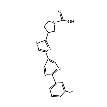 O=C(O)N1CCC(c2nc(-c3cnc(-c4cccc(F)c4)nc3)c[nH]2)C1